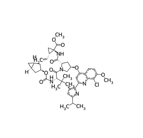 C=C[C@@H]1C[C@]1(NC(=O)[C@@H]1C[C@@H](Oc2cc(-c3nc(C(C)C)cs3)nc3c(Cl)c(OC)ccc23)CN1C(=O)[C@@H](NC(=O)O[C@@H]1C[C@@H]2C[C@@H]2C1)C(C)(C)C)C(=O)OC